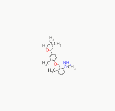 Cc1cc(C(=O)CC(C)(C)C)ccc1OCc1c(C)cccc1N(C)N